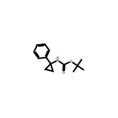 CC(C)(C)OC(=O)NC1(c2cc[c]cc2)CC1